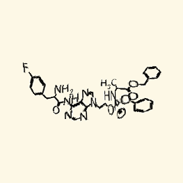 CC(NP(=O)(OCCn1cnc2c(NC(=O)C(N)Cc3ccc(F)cc3)ncnc21)Oc1ccccc1)C(=O)OCc1ccccc1